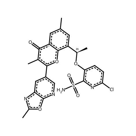 Cc1cc([C@@H](C)Oc2ccc(Cl)nc2S(N)(=O)=O)c2oc(-c3cnc4oc(C)nc4c3)c(C)c(=O)c2c1